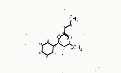 CC[CH]C(=O)OC(CCC)C1CCCCC1